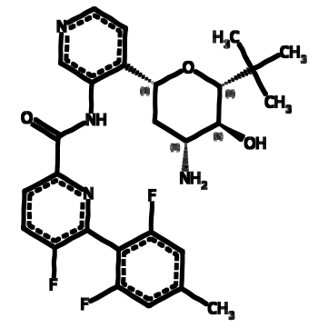 Cc1cc(F)c(-c2nc(C(=O)Nc3cnccc3[C@H]3C[C@@H](N)[C@H](O)[C@@H](C(C)(C)C)O3)ccc2F)c(F)c1